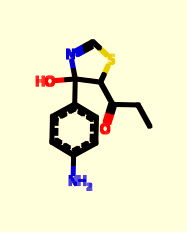 CCC(=O)C1SC=NC1(O)c1ccc(N)cc1